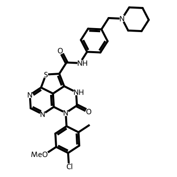 COc1cc(N2C(=O)Nc3c(C(=O)Nc4ccc(CN5CCCCC5)cc4)sc4ncnc2c34)c(C)cc1Cl